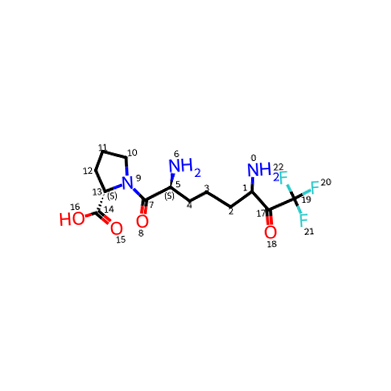 NC(CCC[C@H](N)C(=O)N1CCC[C@H]1C(=O)O)C(=O)C(F)(F)F